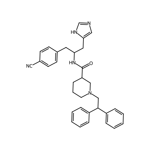 N#Cc1ccc(CC(Cc2cnc[nH]2)NC(=O)C2CCCN(CC(c3ccccc3)c3ccccc3)C2)cc1